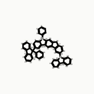 c1ccc(-n2c3ccc(C4(c5ccccc5)c5ccccc5-c5ccccc54)cc3c3cc4c(cc32)Cc2ccc(-n3c5ccccc5c5ccccc53)cc2-4)cc1